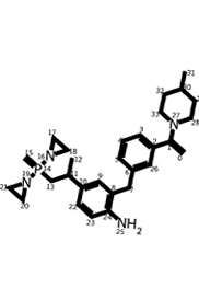 C=C(c1cccc(Cc2cc(C(C)CP(=C)(N3CC3)N3CC3)ccc2N)c1)N1CCC(C)CC1